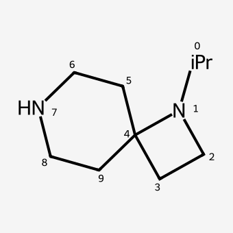 CC(C)N1CCC12CCNCC2